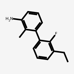 CCc1cccc(-c2cccc(N)c2C)c1F